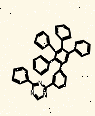 c1ccc(-c2ncnc(-c3cccc(-c4cc(-c5ccccc5)c(-c5ccccc5)c(-c5ccccc5)c4-c4ccccc4)c3)n2)cc1